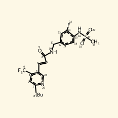 CC(C)(C)c1cc(C(F)(F)F)c(/C=C/C(=O)NCc2ccc(NS(C)(=O)=O)c(F)c2)cn1